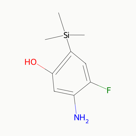 C[Si](C)(C)c1cc(F)c(N)cc1O